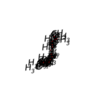 COC(=O)N[C@H](C(=O)N1CCC[C@H]1c1ncc(-c2ccc(-c3ccc(-c4cnc([C@@H]5CCCN5C(=O)[C@@H](NC(=O)OC)C(C)C)[nH]4)c4c3C3CCC4N3C)cc2)[nH]1)C(C)C